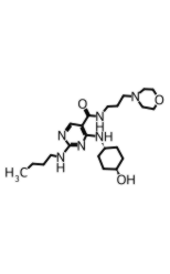 CCCCNc1ncc(C(=O)NCCCN2CCOCC2)c(N[C@H]2CC[C@H](O)CC2)n1